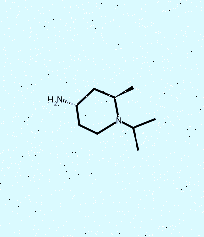 CC(C)N1CC[C@H](N)C[C@H]1C